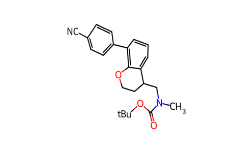 CN(CC1CCOc2c(-c3ccc(C#N)cc3)cccc21)C(=O)OC(C)(C)C